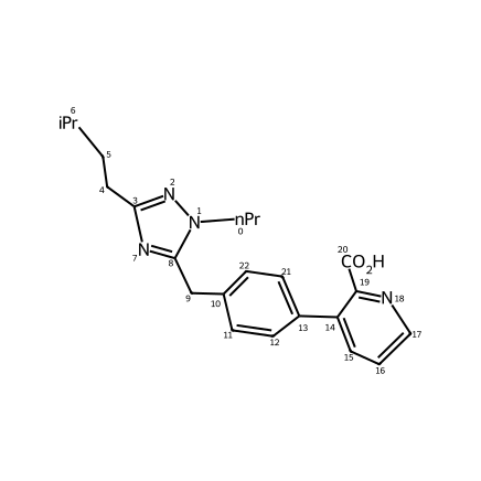 CCCn1nc(CCC(C)C)nc1Cc1ccc(-c2cccnc2C(=O)O)cc1